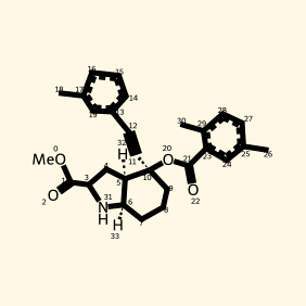 COC(=O)C1C[C@@H]2[C@@H](CCC[C@]2(C#Cc2cccc(C)c2)OC(=O)c2cc(C)ccc2C)N1